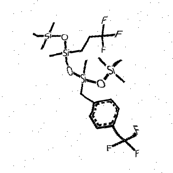 C[Si](C)(C)O[Si](C)(CCC(F)(F)F)O[Si](C)(Cc1ccc(C(F)(F)F)cc1)O[Si](C)(C)C